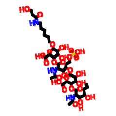 CCC1OC(OC2C(C(=O)O)OC(OC3C(COS(=O)(=O)O)OC(OC4C(C(=O)O)OC(OCCCCCCNC(=O)CCO)C(O)C4O)C(NC(C)=O)C3O)C(O)C2O)C(NC(C)=O)C(O)C1O